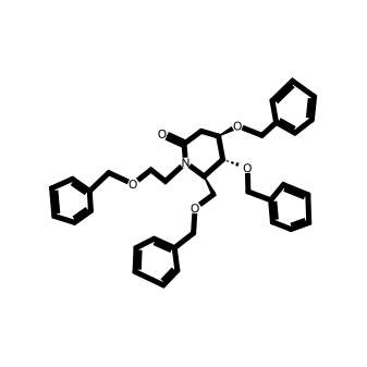 O=C1C[C@@H](OCc2ccccc2)[C@H](OCc2ccccc2)[C@@H](COCc2ccccc2)N1CCOCc1ccccc1